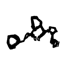 O=C(C1CCCCN1C(=O)OCc1ccccc1)N1CCCC1CO